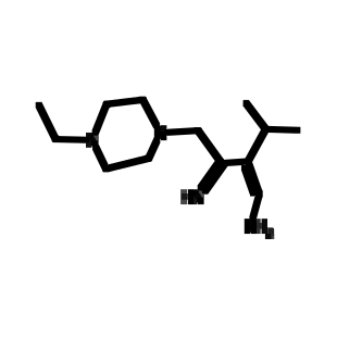 CCN1CCN(CC(=N)/C(=C\N)C(C)C)CC1